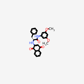 COc1cc(NC(=O)[C@@H](Cc2ccccc2)NC2=CC(=O)c3ccccc3C2=O)cc(OC)c1